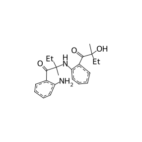 CCC(C)(O)C(=O)c1ccccc1NC(C)(CC)C(=O)c1ccccc1N